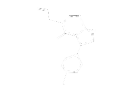 O=CCn1cnc2[nH]cc(-c3ccc(Cl)cc3)c2c1=O